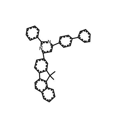 CC1(C)c2cc(-c3cc(-c4ccc(-c5ccccc5)cc4)nc(-c4ccccc4)n3)ccc2-c2ccc3ccccc3c21